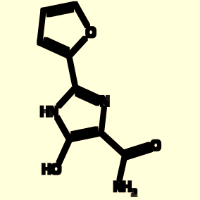 NC(=O)c1nc(-c2ccco2)[nH]c1O